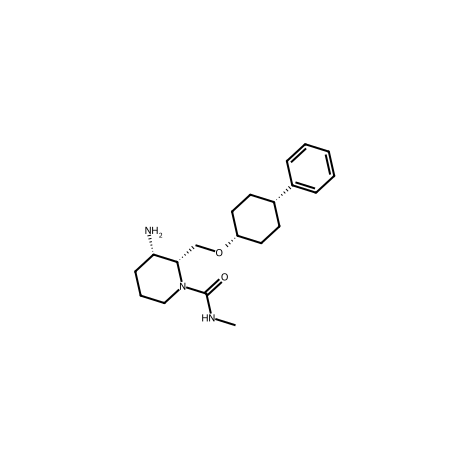 CNC(=O)N1CCC[C@H](N)[C@@H]1CO[C@H]1CC[C@@H](c2ccccc2)CC1